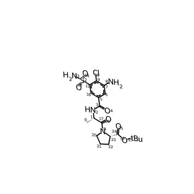 C[C@H](NC(=O)c1cc(N)c(Cl)c(S(N)(=O)=O)c1)C(=O)N1CCC[C@H]1C(=O)OC(C)(C)C